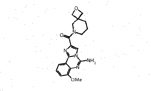 COc1cccc2c1nc(N)n1cc(C(=O)N3CCCC4(COC4)C3)nc21